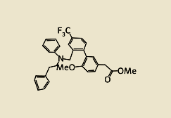 COC(=O)Cc1ccc(OC)c(-c2ccc(C(F)(F)F)cc2CN(CCc2ccccc2)c2ccccc2)c1